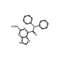 CC(=O)Nc1nc(C(=O)N(c2ccccc2)c2ccccc2)c2nc[nH]c2n1